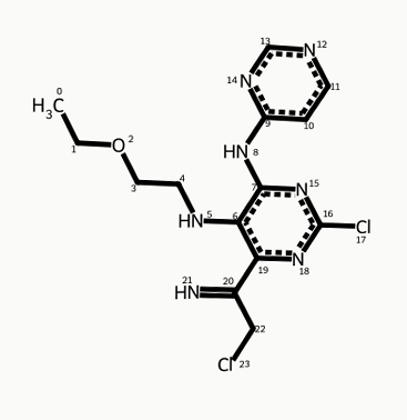 CCOCCNc1c(Nc2ccncn2)nc(Cl)nc1C(=N)CCl